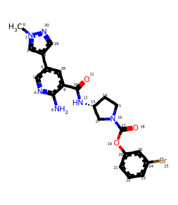 Cn1cc(-c2cnc(N)c(C(=O)N[C@@H]3CCN(C(=O)Oc4cccc(Br)c4)C3)c2)cn1